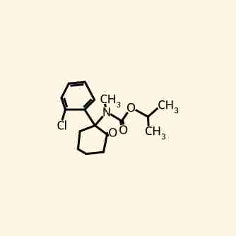 CC(C)OC(=O)N(C)C1(c2ccccc2Cl)CCCCC1=O